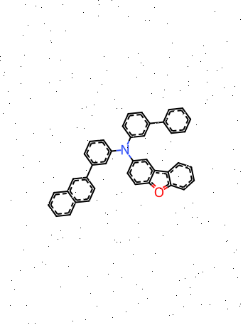 c1ccc(-c2cccc(N(c3cccc(-c4ccc5ccccc5c4)c3)c3ccc4oc5ccccc5c4c3)c2)cc1